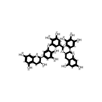 O=C(O[C@@H]1Cc2c(O)cc(O)cc2O[C@@H]1c1cc(O)c(O)c(O)c1)c1cc(O)c(O)c(Oc2cc([C@@H]3Oc4cc(O)cc(O)c4C[C@@H]3O)cc(O)c2O)c1